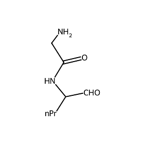 CCCC(C=O)NC(=O)CN